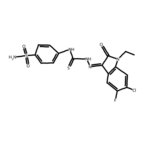 CCN1C(=O)C(=NNC(=S)Nc2ccc(S(N)(=O)=O)cc2)c2cc(F)c(Cl)cc21